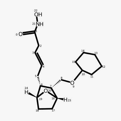 O=C(CC=CC[C@@H]1[C@H](COC2CCCCC2)[C@@H]2CC[C@H]1O2)NO